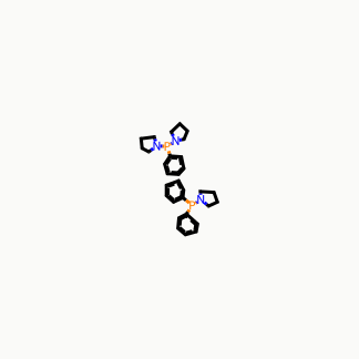 c1ccc(P(N2CCCC2)N2CCCC2)cc1.c1ccc(P(c2ccccc2)N2CCCC2)cc1